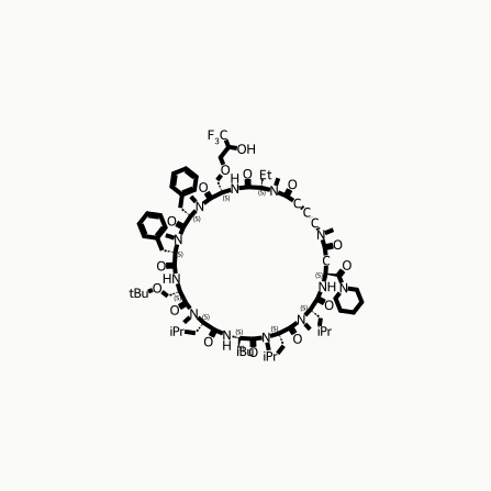 CC[C@H](C)[C@@H]1NC(=O)[C@H](CC(C)C)N(C)C(=O)[C@H](COC(C)(C)C)NC(=O)[C@H](Cc2ccccc2)N(C)C(=O)[C@H](Cc2ccccc2)N(C)C(=O)[C@H](COCC(O)C(F)(F)F)NC(=O)[C@H](CC)N(C)C(=O)CCCN(C)C(=O)C[C@@H](C(=O)N2CCCCC2)NC(=O)[C@H](CC(C)C)N(C)C(=O)[C@H](CC(C)C)N(C)C1=O